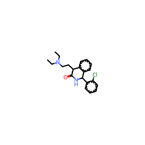 CCN(CC)CCC1C(=O)NC(c2ccccc2Cl)c2ccccc21